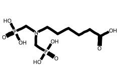 O=C(O)CCCCCN(CP(=O)(O)O)CP(=O)(O)O